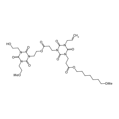 C=CCn1c(=O)n(CCC(=O)OCCCCCCCOC)c(=O)n(CCC(=O)OCCn2c(=O)n(CCO)c(=O)n(CCOC)c2=O)c1=O